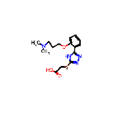 CN(C)CCCOc1ccccc1-c1nnc(SCC(=O)O)[nH]1